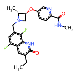 CCc1cc2c(F)cc(CN3C[C@H](Oc4ccc(C(=O)NC)nc4)[C@H]3C)c(F)c2[nH]c1=O